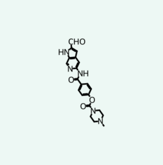 CN1CCN(C(=O)Oc2ccc(C(=O)Nc3cc4cc(C=O)[nH]c4cn3)cc2)CC1